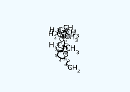 C=CC[C@@H]1CCC=C(C(C)(C)CO[Si](C)(C)C(C)(C)C)O1